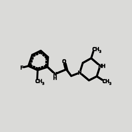 Cc1c(F)cccc1NC(=O)CN1CC(C)NC(C)C1